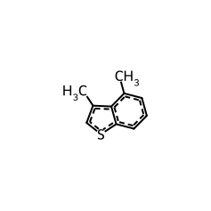 Cc1cccc2scc(C)c12